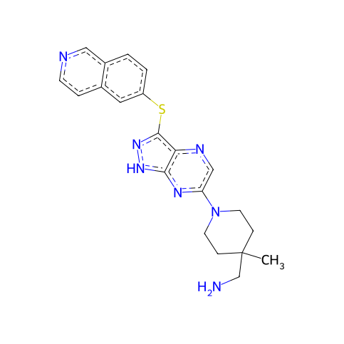 CC1(CN)CCN(c2cnc3c(Sc4ccc5cnccc5c4)n[nH]c3n2)CC1